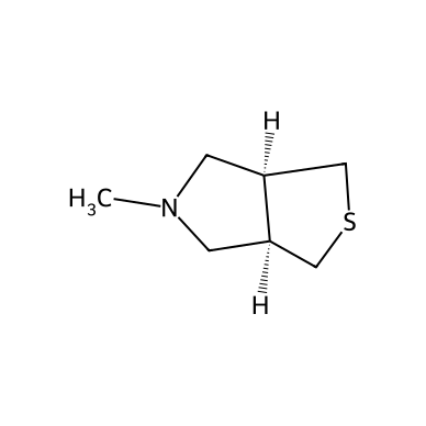 CN1C[C@H]2CSC[C@H]2C1